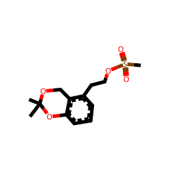 CC1(C)OCc2c(CCOS(C)(=O)=O)cccc2O1